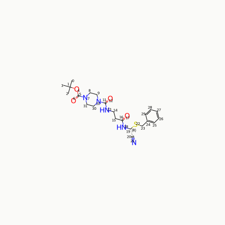 CC(C)(C)OC(=O)N1CCN(C(=O)NCCC(=O)N[C@@H](C#N)SCc2ccccc2)CC1